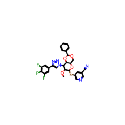 COC1C(Sc2cncc(C#N)c2)OC2COC(c3ccccc3)OC2C1n1cc(-c2cc(F)c(F)c(F)c2)nn1